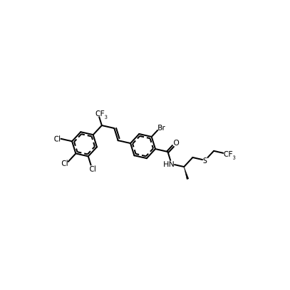 C[C@H](CSCC(F)(F)F)NC(=O)c1ccc(/C=C/C(c2cc(Cl)c(Cl)c(Cl)c2)C(F)(F)F)cc1Br